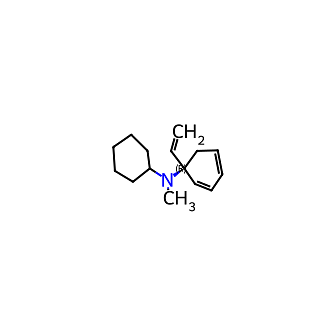 C=C[C@@]1(N(C)C2CCCCC2)C=CC=CC1